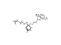 CC(C)(CCCCCCc1ccccc1CCCCCC1CC1)C(=O)O